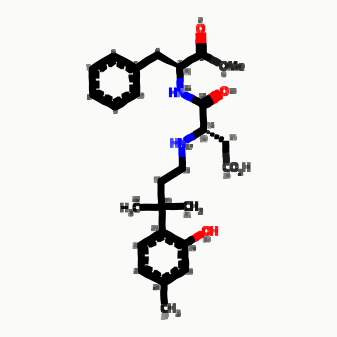 COC(=O)[C@H](Cc1ccccc1)NC(=O)[C@H](CC(=O)O)NCCC(C)(C)c1ccc(C)cc1O